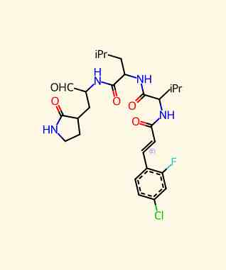 CC(C)CC(NC(=O)C(NC(=O)/C=C/c1ccc(Cl)cc1F)C(C)C)C(=O)NC(C=O)CC1CCNC1=O